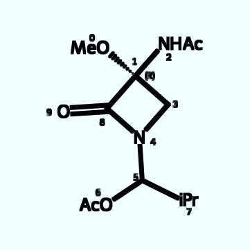 CO[C@]1(NC(C)=O)CN(C(OC(C)=O)C(C)C)C1=O